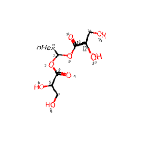 CCCCCCC(OC(=O)C(O)CO)OC(=O)C(O)CO